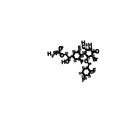 Cc1[nH]c(=O)c(Br)c(OCc2ccc(F)cc2F)c1-c1c(F)cc(C(O)COC(N)=O)cc1F